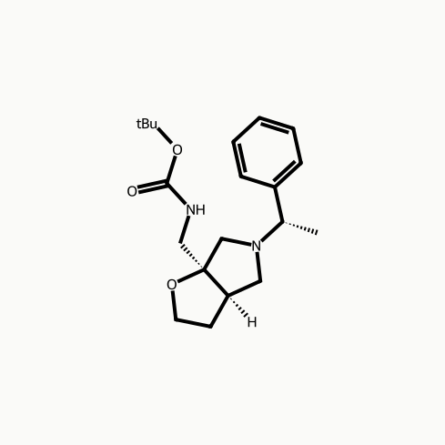 C[C@@H](c1ccccc1)N1C[C@H]2CCO[C@@]2(CNC(=O)OC(C)(C)C)C1